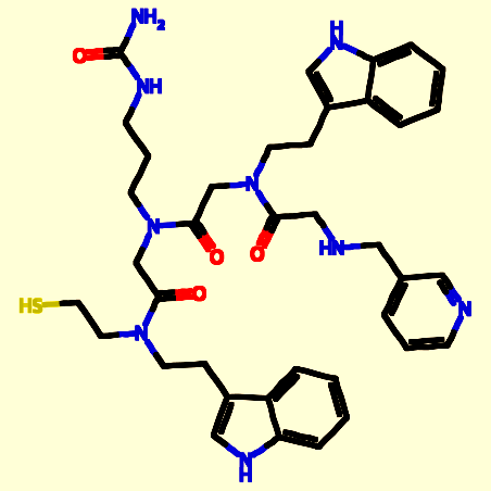 NC(=O)NCCCN(CC(=O)N(CCS)CCc1c[nH]c2ccccc12)C(=O)CN(CCc1c[nH]c2ccccc12)C(=O)CNCc1cccnc1